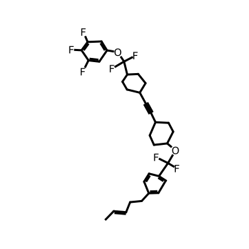 C/C=C/CCc1ccc(C(F)(F)OC2CCC(C#CC3CCC(C(F)(F)Oc4cc(F)c(F)c(F)c4)CC3)CC2)cc1